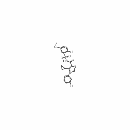 COc1ccc(Cl)c(S(=O)(=O)NC(=O)c2ncn(-c3cccc(Cl)c3)c2C2CC2)c1